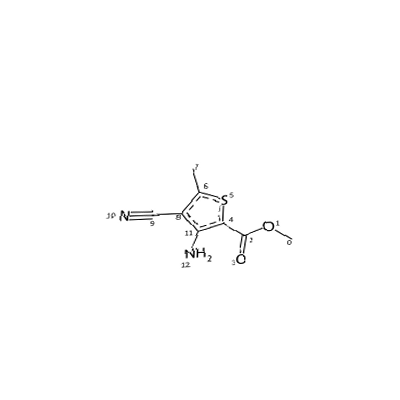 COC(=O)c1sc(C)c(C#N)c1N